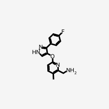 Cc1ccc(Oc2c[nH]nc2-c2ccc(F)cc2)nc1CN